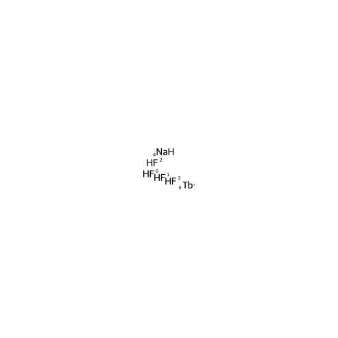 F.F.F.F.[NaH].[Tb]